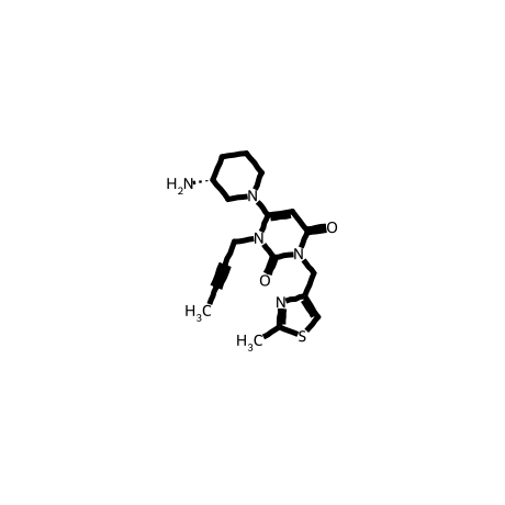 CC#CCn1c(N2CCC[C@@H](N)C2)cc(=O)n(Cc2csc(C)n2)c1=O